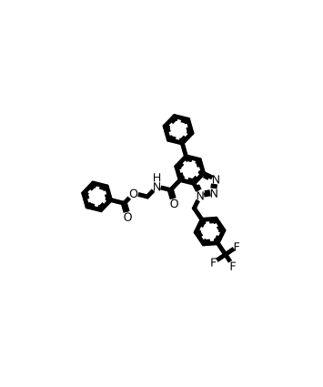 O=C(OCNC(=O)c1cc(-c2ccccc2)cc2nnn(Cc3ccc(C(F)(F)F)cc3)c12)c1ccccc1